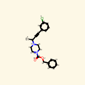 CCC(C#Cc1cccc(Cl)c1)N1CCN(C(=O)OCc2ccccc2)CC1